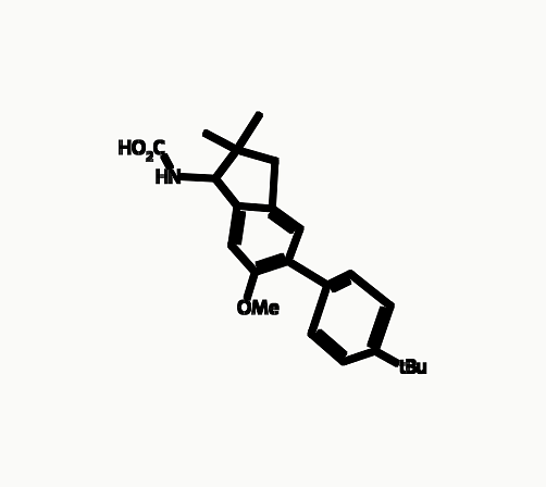 COc1cc2c(cc1-c1ccc(C(C)(C)C)cc1)CC(C)(C)C2NC(=O)O